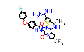 C[C@@H](NC(=N)[C@@H]1C[C@@H](C(F)(F)F)CN1C(=O)CNC(=O)c1ccc(Oc2ccc(F)cc2)cc1)c1cc(C(=N)N)cs1